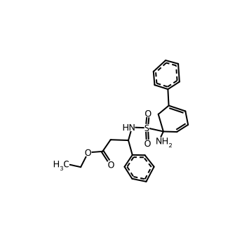 CCOC(=O)CC(NS(=O)(=O)C1(N)C=CC=C(c2ccccc2)C1)c1ccccc1